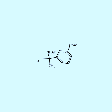 COc1cccc(C(C)(C)NC(C)=O)c1